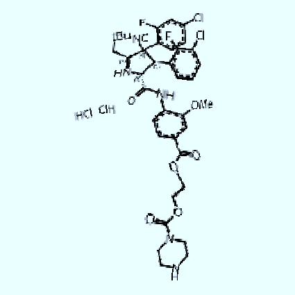 COc1cc(C(=O)OCCOC(=O)N2CCNCC2)ccc1NC(=O)[C@@H]1N[C@@H](CC(C)(C)C)[C@](C#N)(c2ccc(Cl)cc2F)[C@H]1c1cccc(Cl)c1F.Cl.Cl